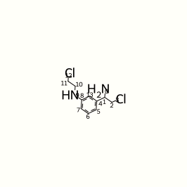 NC(CCl)c1cccc(NCCCl)c1